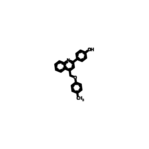 Cc1ccc(OCc2cc(-c3ccc(O)cc3)nc3ccccc23)cc1